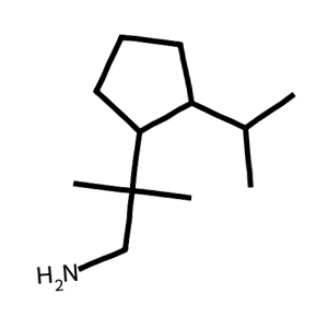 CC(C)C1CCCC1C(C)(C)CN